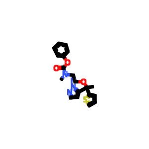 CN(CCOC(C)(c1ccn[nH]1)c1cccs1)C(=O)Oc1ccccc1